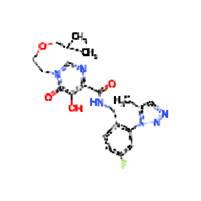 Cc1cnnn1-c1cc(F)ccc1CNC(=O)c1nc2n(c(=O)c1O)CCOCC2(C)C